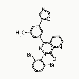 Cc1cc(-c2cnco2)cc(-c2nn(-c3c(Br)cccc3Br)c(=O)c3ncccc23)c1